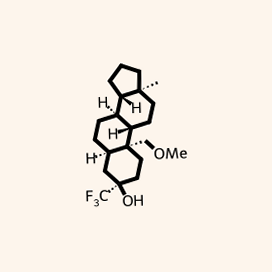 COC[C@]12CC[C@](O)(C(F)(F)F)C[C@H]1CC[C@H]1[C@@H]3CCC[C@@]3(C)CC[C@@H]12